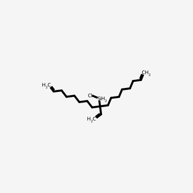 C=CCCCCCCC(C=C)(CCCCCCC=C)[SiH2]Cl